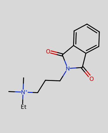 CC[N+](C)(C)CCCN1C(=O)c2ccccc2C1=O